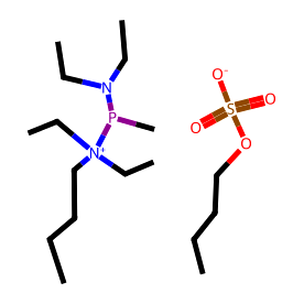 CCCCOS(=O)(=O)[O-].CCCC[N+](CC)(CC)P(C)N(CC)CC